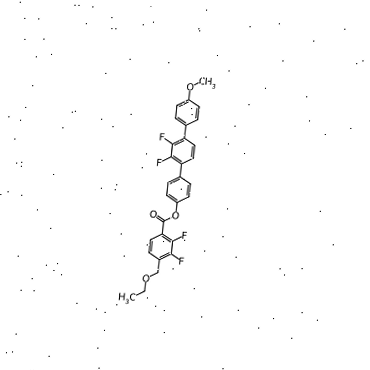 CCOCc1ccc(C(=O)Oc2ccc(-c3ccc(-c4ccc(OC)cc4)c(F)c3F)cc2)c(F)c1F